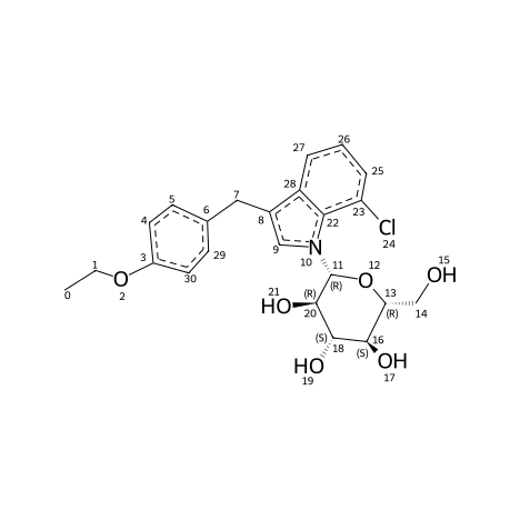 CCOc1ccc(Cc2cn([C@@H]3O[C@H](CO)[C@@H](O)[C@H](O)[C@H]3O)c3c(Cl)cccc23)cc1